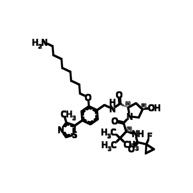 Cc1ncsc1-c1ccc(CNC(=O)[C@@H]2C[C@@H](O)CN2C(=O)[C@@H](NC(=O)C2(F)CC2)C(C)(C)C)c(OCCCCCCCCN)c1